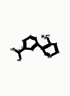 Cc1ccncc1-c1cccc(C(F)F)c1